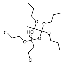 CCCOC(C)(O)C(OCCC)(OCCC)OP(=O)(CCCl)OCCCl